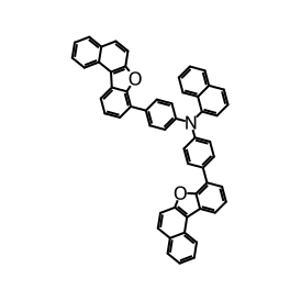 c1ccc2c(N(c3ccc(-c4cccc5c4oc4ccc6ccccc6c45)cc3)c3ccc(-c4cccc5c4oc4ccc6ccccc6c45)cc3)cccc2c1